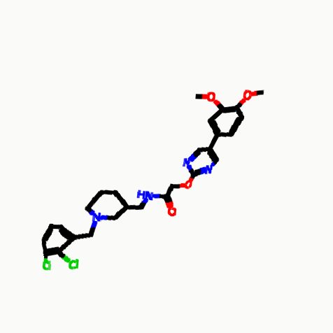 COc1ccc(-c2cnc(OCC(=O)NCC3CCCN(Cc4cccc(Cl)c4Cl)C3)nc2)cc1OC